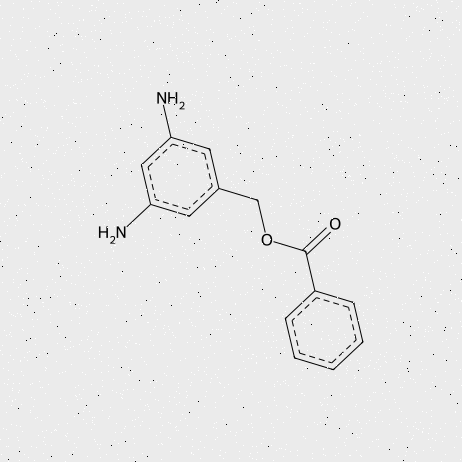 Nc1cc(N)cc(COC(=O)c2ccccc2)c1